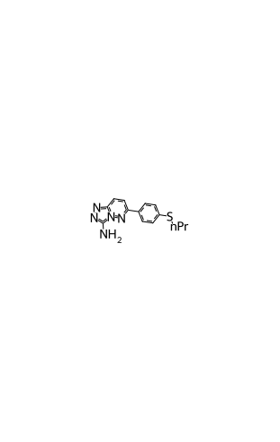 CCCSc1ccc(-c2ccc3nnc(N)n3n2)cc1